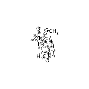 CSC1=C2C=C[C@H]3[C@@H]4CCC(=O)[C@@]4(C)CC[C@@H]3[C@@]2(C)C2C[C@@H]2C1=O